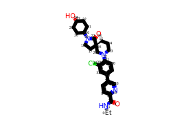 CCNC(=O)c1ccc(-c2ccc(N3CCC[C@]4(CCN(C5CCC(O)CC5)C4=O)C3)c(Cl)c2)cn1